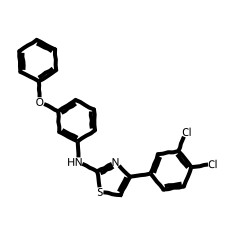 Clc1ccc(-c2csc(Nc3cccc(Oc4ccccc4)c3)n2)cc1Cl